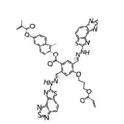 C=CC(=O)OCCCOc1cc(/C=N/Nc2nc3c(ccc4nsnc43)s2)c(C(=O)Oc2ccc3cc(OC(=O)C(=C)C)ccc3c2C)cc1/C=N/Nc1nc2c(ccc3nsnc32)s1